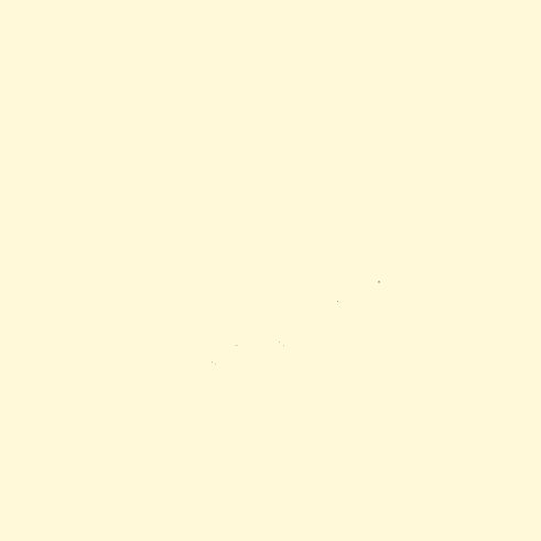 CCc1csc(NC(=O)CN2CCC(NCC(O)C3COc4ccccc4O3)CC2)c1